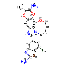 CC(Oc1cc2c3c(c1)nc(-c1cc(F)c4sc(N)nc4c1)n3CCCCO2)C(N)=O